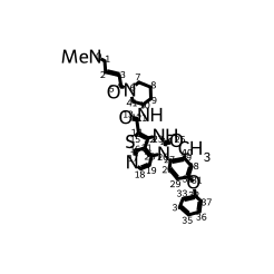 CNC/C=C/C(=O)N1CCC[C@@H](NC(=O)c2sc3nccc4c3c2NC(=O)N4c2ccc(Oc3ccccc3)cc2C)C1